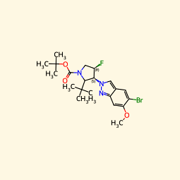 COc1cc2nn([C@H]3C(C(C)(C)C)N(C(=O)OC(C)(C)C)C[C@H]3F)cc2cc1Br